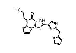 CCCn1c(=O)c2[nH]c(-c3cnn(Cc4cccs4)c3)nc2n2ccnc12